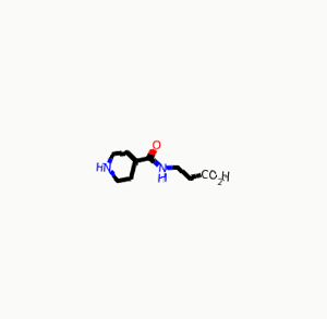 O=C(O)CCNC(=O)C1CCNCC1